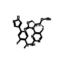 C[C@H](Nc1ncc(F)c(N2C(=O)OC[C@@H]2[C@@H](C)OC(C)(C)C)n1)c1ccc(-c2cn[nH]c2)cc1F